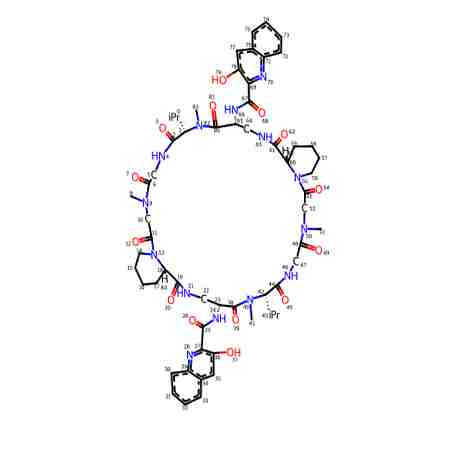 CC(C)[C@H]1C(=O)NCC(=O)N(C)CC(=O)N2CCCC[C@H]2C(=O)NC[C@@H](NC(=O)c2nc3ccccc3cc2O)C(=O)N(C)[C@@H](C(C)C)C(=O)NCC(=O)N(C)CC(=O)N2CCCC[C@H]2C(=O)NC[C@@H](NC(=O)c2nc3ccccc3cc2O)C(=O)N1C